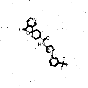 O=C1O[C@]2(CC[C@@H](C(=O)N[C@H]3CCN(c4cccc(C(F)(F)F)c4)C3)CC2)c2cnccc21